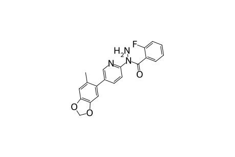 Cc1cc2c(cc1-c1ccc(N(N)C(=O)c3ccccc3F)nc1)OCO2